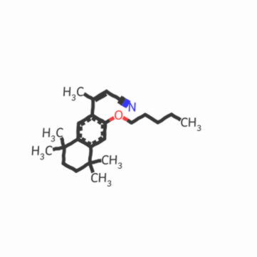 CCCCCOc1cc2c(cc1/C(C)=C\C#N)C(C)(C)CCC2(C)C